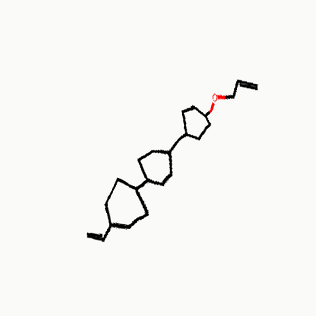 C=CCOC1CCC(C2CCC(C3CCC(C=C)CC3)CC2)CC1